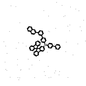 c1ccc(-c2ccc(N(c3ccc(-c4cccc(-c5ccc6ccccc6c5)c4)cc3)c3ccc4c(c3)C3(c5ccccc5-c5ccccc53)c3ccccc3-4)cc2)cc1